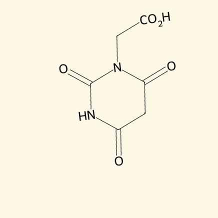 O=C(O)CN1C(=O)CC(=O)NC1=O